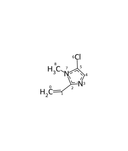 C=Cc1ncc(Cl)n1C